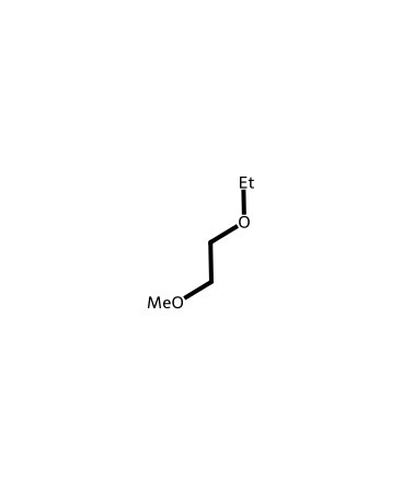 CCOCCOC